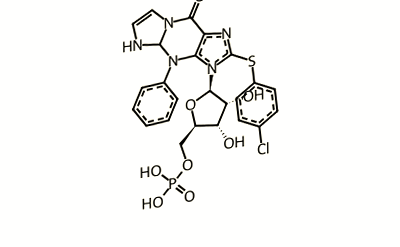 O=C1c2nc(Sc3ccc(Cl)cc3)n([C@@H]3O[C@H](COP(=O)(O)O)[C@@H](O)[C@H]3O)c2N(c2ccccc2)C2NC=CN12